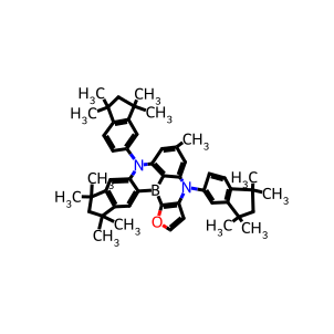 Cc1cc2c3c(c1)N(c1ccc4c(c1)C(C)(C)CC4(C)C)c1ccoc1B3c1cc3c(cc1N2c1ccc2c(c1)C(C)(C)CC2(C)C)C(C)(C)CC3(C)C